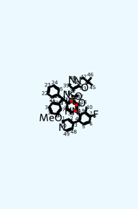 COc1cc(-c2ccc(F)c(C)c2NC(=O)NS(=O)(=NC(c2ccccc2)(c2ccccc2)c2ccccc2)c2cnn3c2OC(C)(C)C3)ccn1